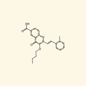 CCCCOc1c(/C=C/c2ccccc2C)oc2ccc(C(=O)O)cc2c1=O